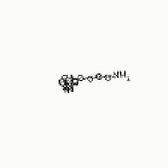 CS(=O)(=O)c1nnnn1-c1ccc(OCCOCCOCCOCCN)cc1